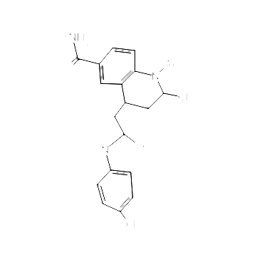 CC(=O)N1c2ccc(C(N)=O)cc2C(CC(O)Nc2ccc(Cl)cc2)CC1C